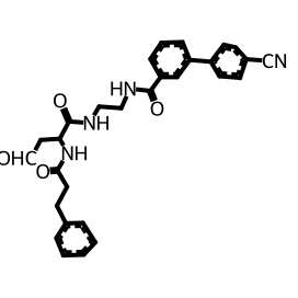 N#Cc1ccc(-c2cccc(C(=O)NCCNC(=O)C(CC=O)NC(=O)CCc3ccccc3)c2)cc1